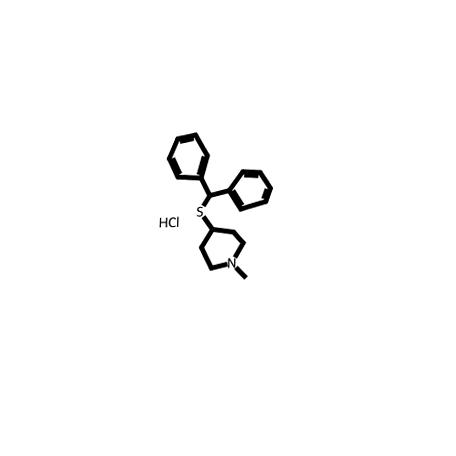 CN1CCC(SC(c2ccccc2)c2ccccc2)CC1.Cl